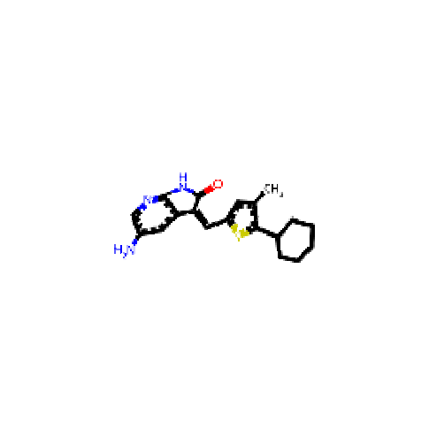 Cc1cc(C=C2C(=O)Nc3ncc(N)cc32)sc1C1CCCCC1